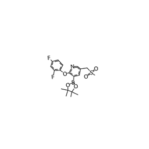 CC1(C)OB(c2cc(CS(C)(=O)=O)cnc2Oc2ccc(F)cc2F)OC1(C)C